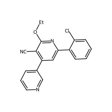 CCOc1nc(-c2ccccc2Cl)cc(-c2cccnc2)c1C#N